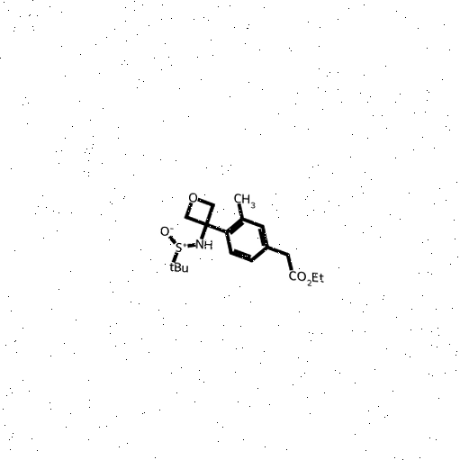 CCOC(=O)Cc1ccc(C2(N[S+]([O-])C(C)(C)C)COC2)c(C)c1